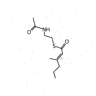 CCC/C(C)=C/C(=O)SCCNC(C)=O